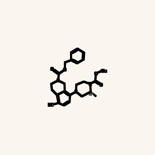 C[C@@H]1CN(c2ccc(C#N)c3c2CN(C(=O)OCc2ccccc2)CC3)CCN1C(=O)OC(C)(C)C